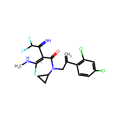 C=C(CN(C(=O)/C(C(=N)C(F)F)=C(\F)NC)C1CC1)c1ccc(Cl)cc1Cl